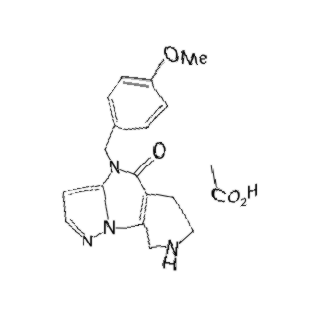 CC(=O)O.COc1ccc(Cn2c(=O)c3c(n4nccc24)CNCC3)cc1